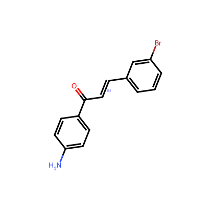 Nc1ccc(C(=O)/C=C/c2cccc(Br)c2)cc1